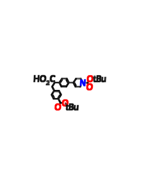 CC(C)(C)OC(=O)c1ccc(CC(C(=O)O)c2ccc(C3=CCN(C(=O)OC(C)(C)C)CC3)cc2)cc1